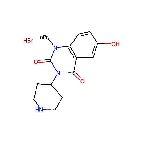 Br.CCCn1c(=O)n(C2CCNCC2)c(=O)c2cc(O)ccc21